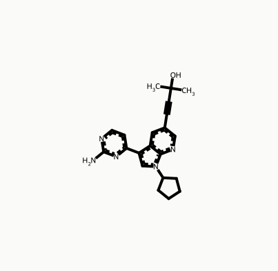 CC(C)(O)C#Cc1cnc2c(c1)c(-c1ccnc(N)n1)cn2C1CCCC1